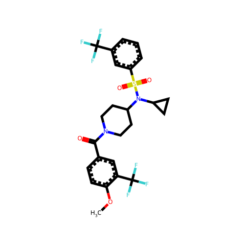 COc1ccc(C(=O)N2CCC(N(C3CC3)S(=O)(=O)c3cccc(C(F)(F)F)c3)CC2)cc1C(F)(F)F